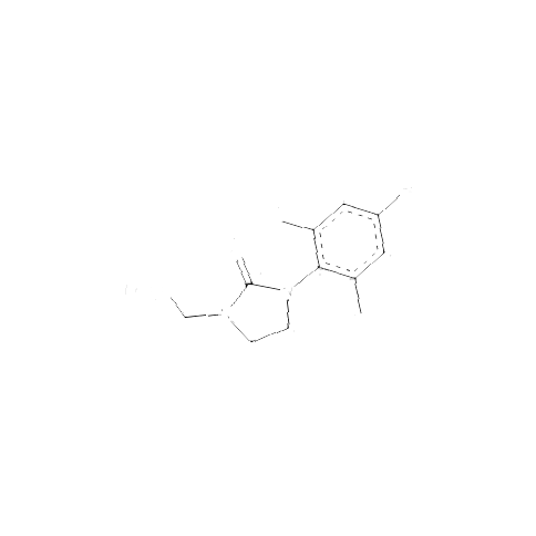 CCOC(=O)CN1CCN(c2c(C)cc(Br)cc2CC)C1=O